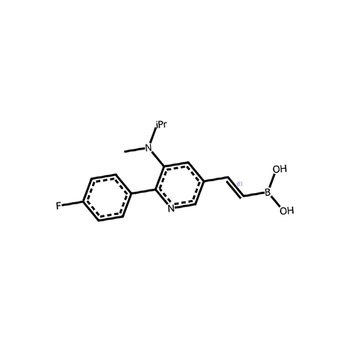 CC(C)N(C)c1cc(/C=C/B(O)O)cnc1-c1ccc(F)cc1